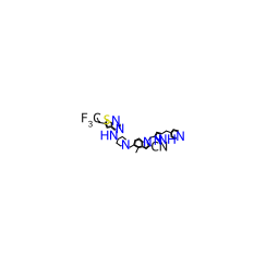 Cc1c(CN2CCC(Nc3ncnc4sc(CC(F)(F)F)cc34)CC2)ccc2c1cc(C#N)n2Cc1cc(Cc2ccncc2)[nH]n1